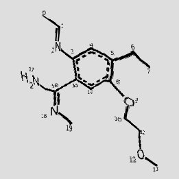 C/C=N/c1cc(CC)c(OCCOC)cc1/C(N)=N\C